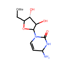 COCC1OC(N2C=CC(N)NC2=O)C(O)[C@H]1O